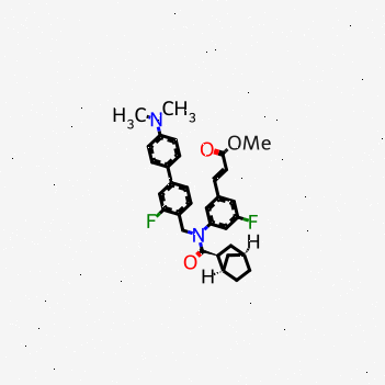 COC(=O)/C=C/c1cc(F)cc(N(Cc2ccc(-c3ccc(N(C)C)cc3)cc2F)C(=O)[C@H]2C[C@H]3CC[C@@H]2C3)c1